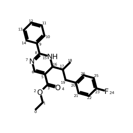 CCOC(=O)C1=CN=C(c2ccccc2)NC1C(C)Cc1ccc(F)cc1